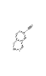 N#Cc1ccc2cnncc2c1